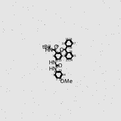 COc1ccc(NC(=O)Nc2ccc(OC(c3ccccc3)c3ccccc3)c(C(=O)NC(C)(C)C)c2)cc1